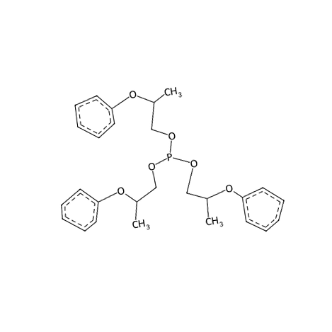 CC(COP(OCC(C)Oc1ccccc1)OCC(C)Oc1ccccc1)Oc1ccccc1